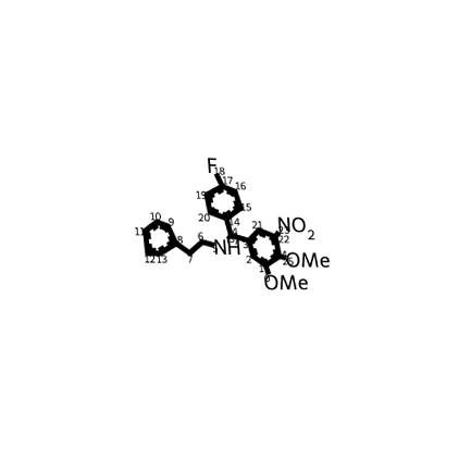 COc1cc([C@@H](NCCc2ccccc2)c2ccc(F)cc2)cc([N+](=O)[O-])c1OC